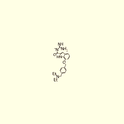 CCN(CC)Cc1ccc(COc2cccc3cc(C(=O)N(C)C(=N)N)[nH]c23)cc1